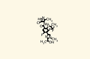 Cc1n[nH]c(Cl)c1NC(=O)c1cc(F)c(-c2cn(C)c(C(C)O)n2)cc1O[C@@H](C)C(F)(F)F